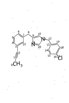 CC#Cc1cccc(Cc2cn(Cc3ccc(Cl)cc3)cn2)c1